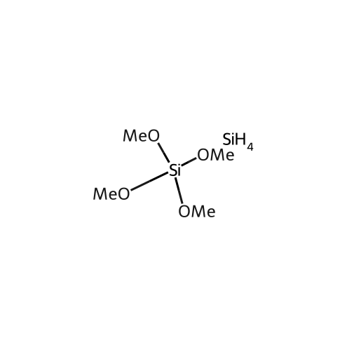 CO[Si](OC)(OC)OC.[SiH4]